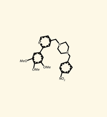 COc1cc(-c2cc(CN3CCN(Cc4ccc([N+](=O)[O-])cc4)CC3)ccn2)cc(OC)c1OC